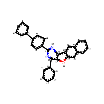 c1ccc(-c2ccc(-c3nc(-c4ccccc4)c4oc5cc6ccccc6cc5c4n3)cc2)cc1